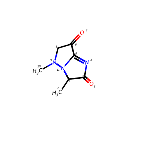 CC1C(=O)N=C2C(=O)CN(C)N21